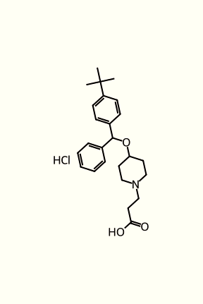 CC(C)(C)c1ccc(C(OC2CCN(CCC(=O)O)CC2)c2ccccc2)cc1.Cl